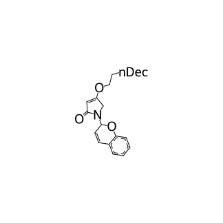 CCCCCCCCCCCCOC1=CC(=O)N(C2C=Cc3ccccc3O2)C1